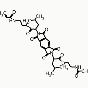 C=CC(=O)NCCOC(=O)C(CC(C)C)n1c(=O)c2cc3c(=O)n(C(CC(C)C)C(=O)OCCNC(C)=O)c(=O)c3cc2c1=O